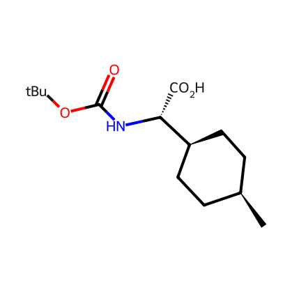 CC(C)(C)OC(=O)N[C@H](C(=O)O)[C@H]1CC[C@@H](C)CC1